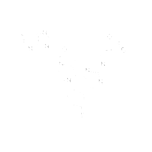 CC1CN(c2ccc(F)cc2-c2cnc(N3CCC(S(C)(=O)=O)CC3)nc2)CCN1C(=O)Cn1cnc2cccnc21